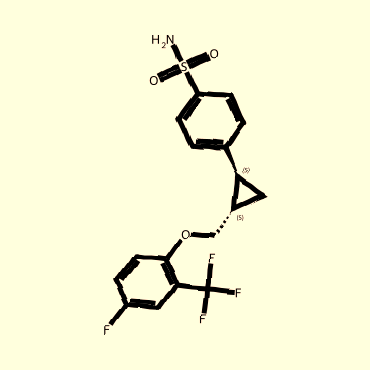 NS(=O)(=O)c1ccc([C@H]2C[C@@H]2COc2ccc(F)cc2C(F)(F)F)cc1